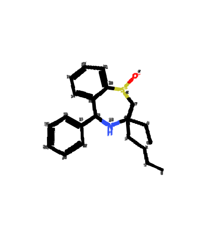 CCCCC1(CC)C[S+]([O-])c2ccccc2C(c2ccccc2)N1